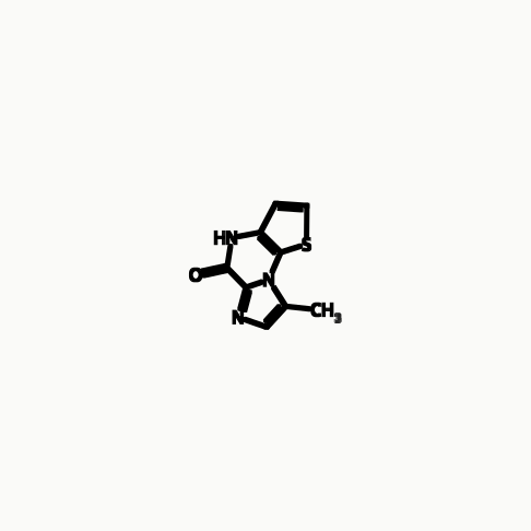 Cc1cnc2c(=O)[nH]c3ccsc3n12